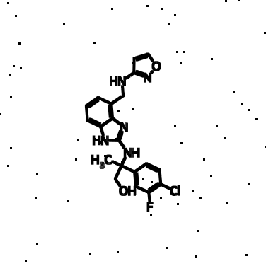 CC(CO)(Nc1nc2c(CNc3ccon3)cccc2[nH]1)c1ccc(Cl)c(F)c1